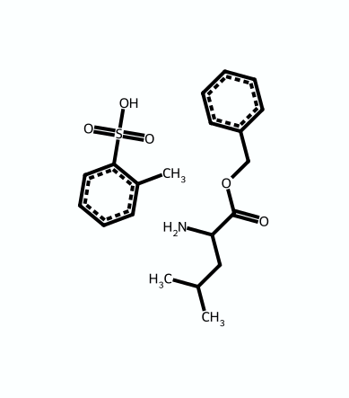 CC(C)CC(N)C(=O)OCc1ccccc1.Cc1ccccc1S(=O)(=O)O